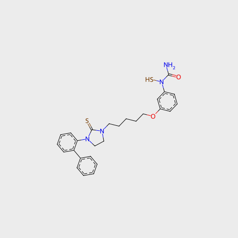 NC(=O)N(S)c1cccc(OCCCCCN2CCN(c3ccccc3-c3ccccc3)C2=S)c1